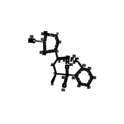 C[C@@H](CC(=N)c1ccnc(C#N)n1)S(=O)(=O)c1ccccc1C(F)(F)F